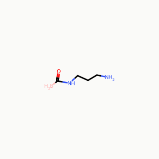 BC(=O)NCCCN